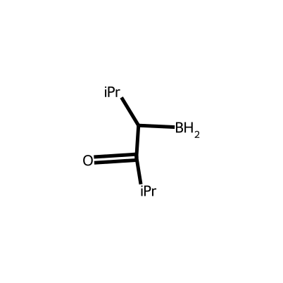 BC(C(=O)C(C)C)C(C)C